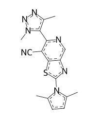 Cc1nnn(C)c1-c1ncc2nc(-n3c(C)ccc3C)sc2c1C#N